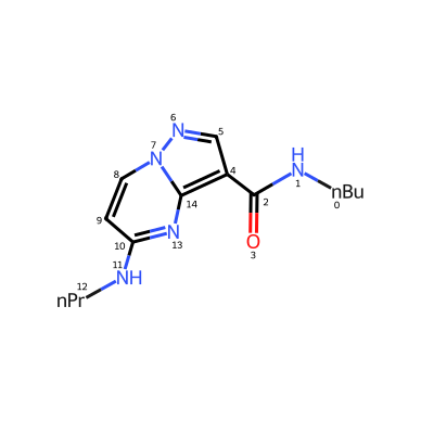 CCCCNC(=O)c1cnn2ccc(NCCC)nc12